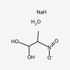 CC(C(O)O)[N+](=O)[O-].O.[NaH]